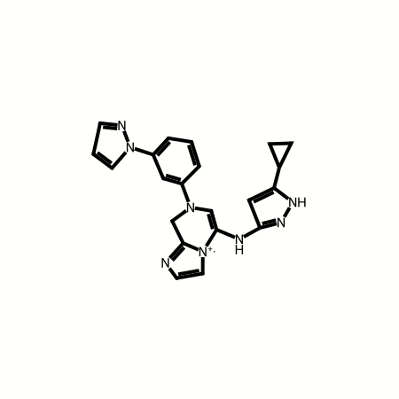 C1=C[N+]2C(Nc3cc(C4CC4)[nH]n3)=CN(c3cccc(-n4cccn4)c3)CC2=N1